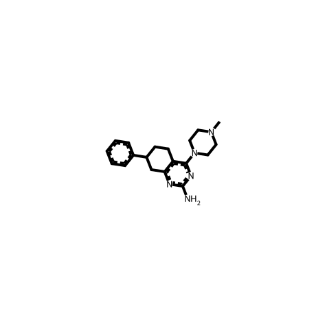 CN1CCN(c2nc(N)nc3c2CCC(c2ccccc2)C3)CC1